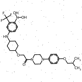 CC(C)COc1ccc(N2CCN(C(=O)COC3CCC(Nc4ccc(N(O)O)c(C(F)(F)F)c4)CC3)CC2)cc1